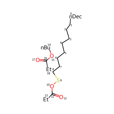 CCCCCCCCCCCCCCCCCCSOC(=O)CC.CCCCOC(=O)CC